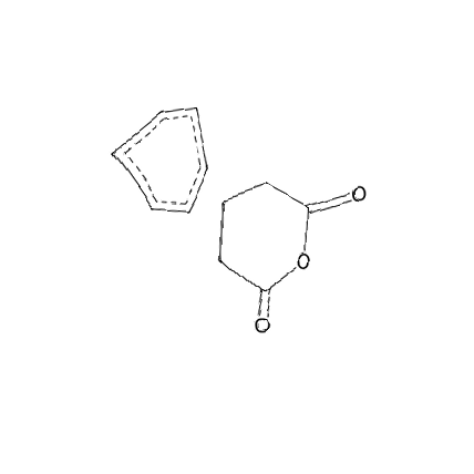 O=C1CCCC(=O)O1.c1ccccc1